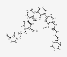 COc1nc(-c2cccc(-c3cccc(-c4cnc(CNC[C@@H]5CCC(=O)N5)c(OC)n4)c3Cl)c2Cl)cnc1CNCCOc1ccccn1